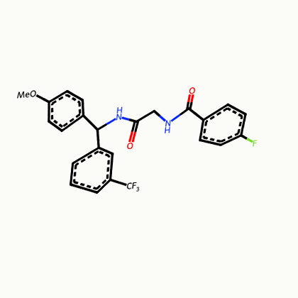 COc1ccc(C(NC(=O)CNC(=O)c2ccc(F)cc2)c2cccc(C(F)(F)F)c2)cc1